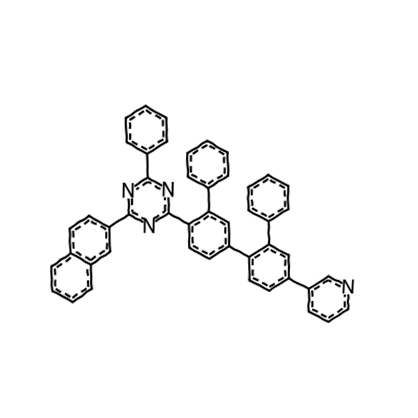 c1ccc(-c2nc(-c3ccc4ccccc4c3)nc(-c3ccc(-c4ccc(-c5cccnc5)cc4-c4ccccc4)cc3-c3ccccc3)n2)cc1